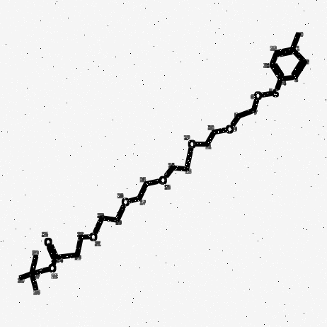 Cc1ccc(SOCCOCCOCCOCCOCCOCCC(=O)OC(C)(C)C)cc1